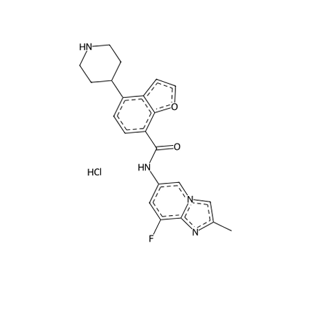 Cc1cn2cc(NC(=O)c3ccc(C4CCNCC4)c4ccoc34)cc(F)c2n1.Cl